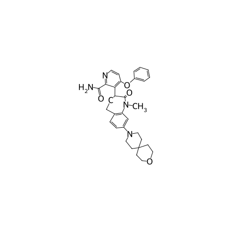 CN1C(=O)C(c2c(Oc3ccccc3)ccnc2C(N)=O)CCc2ccc(N3CCC4(CCOCC4)CC3)cc21